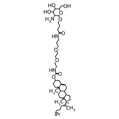 CC(C)CCC[C@H](C)[C@@H]1CCC2C3CC=C4CC(OC(=O)NCCOCCOCCCNC(=O)CCCOC5OC(CO)C(O)C(O)C5N)CC[C@@]4(C)C3CC[C@]21C